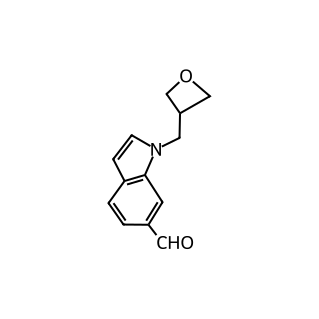 O=Cc1ccc2ccn(CC3COC3)c2c1